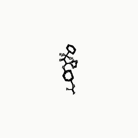 CC(C)(C(=O)C(Oc1ccc(OC(F)F)cc1)n1cncn1)c1ccccc1